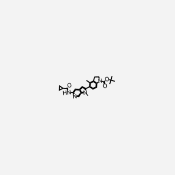 Cc1c(-c2cc3cc(NC(=O)C4CC4)ncc3n2C)ccc2c1CCN2C(=O)OC(C)(C)C